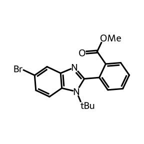 COC(=O)c1ccccc1-c1nc2cc(Br)ccc2n1C(C)(C)C